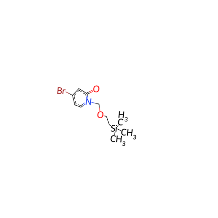 C[Si](C)(C)CCOCn1ccc(Br)cc1=O